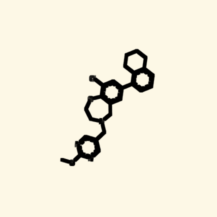 COc1ncc(CN2CCOc3c(Cl)cc(-c4cccc5c4CCCC5)cc3C2)cn1